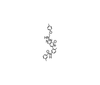 Cc1ccc(OCCNc2ncc3cc(-c4cc(NC(=O)c5cccc(C)c5)ccc4C)n(C)c(=O)c3n2)cc1